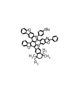 CC(C)(C)c1ccc(N2B3c4cc5nc(-c6ccccc6)oc5cc4-n4c5cc6c(cc5c5c7oc8ccccc8c7c(c3c54)-c3cc4c(cc32)oc2ccccc24)C(C)(C)CCC6(C)C)cc1